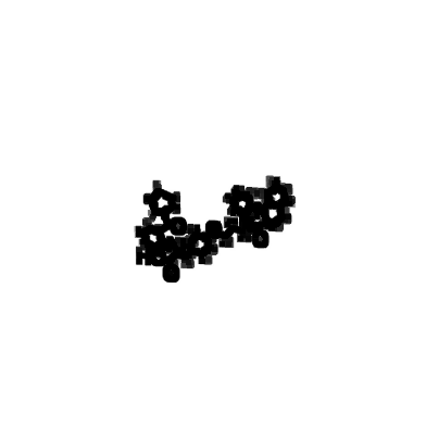 O=C(c1ccccc1)c1ccccc1NC(Cc1ccc(OCCCN(C(=O)c2ccc3ccccc3n2)c2ccccc2)cc1)C(=O)O